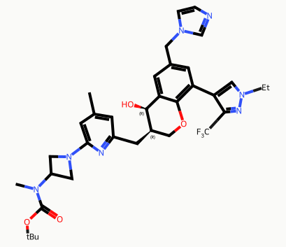 CCn1cc(-c2cc(Cn3ccnc3)cc3c2OC[C@@H](Cc2cc(C)cc(N4CC(N(C)C(=O)OC(C)(C)C)C4)n2)[C@H]3O)c(C(F)(F)F)n1